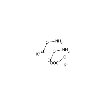 CCON.CCON.O=C([O-])[O-].[K+].[K+]